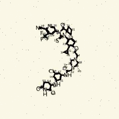 C[C@@H]1CN(CCOc2ccc(N3C(=S)N(c4cnc(C#N)c(C(F)(F)F)c4)C(=O)C34CCC4)cc2C2CC2)C[C@H](C)N1CC(=O)Nc1cc(Cl)cc(NC2CCC(=O)NC2=O)c1